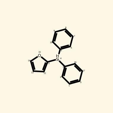 c1ccc([SiH](c2ccccc2)c2ccco2)cc1